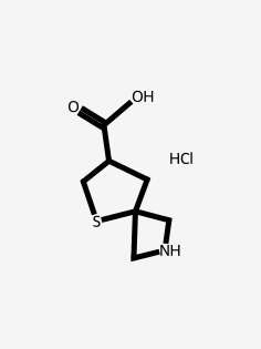 Cl.O=C(O)C1CSC2(CNC2)C1